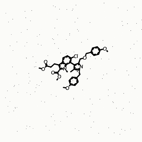 COC(=O)CCc1c(C(=O)OC)n(C)c2c(-c3c(COCc4ccc(OC)cc4)nn(Cc4ccc(OC)cc4)c3C)c(Cl)ccc12